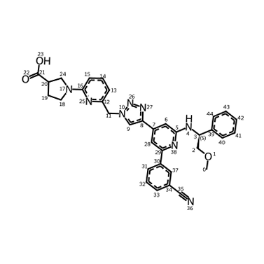 COC[C@@H](Nc1cc(-c2cn(Cc3cccc(N4CCC(C(=O)O)C4)n3)nn2)cc(-c2cccc(C#N)c2)n1)c1ccccc1